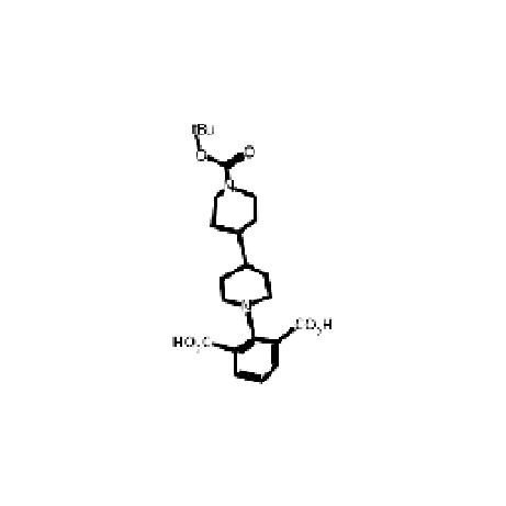 CC(C)(C)OC(=O)N1CCC(C2CCN(c3c(C(=O)O)cccc3C(=O)O)CC2)CC1